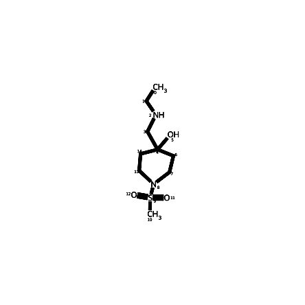 CCNCC1(O)CCN(S(C)(=O)=O)CC1